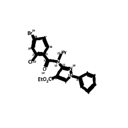 CCOC(=O)c1cn(-c2ccccc2)nc1N(C(=O)c1ccc(Br)cc1Cl)C(C)C